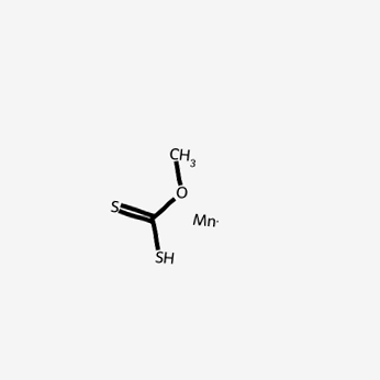 COC(=S)S.[Mn]